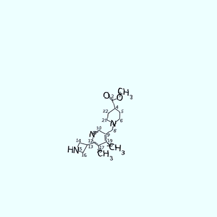 COC(=O)C1CCN(Cc2cnc(C3CNC3)c(C)c2C)CC1